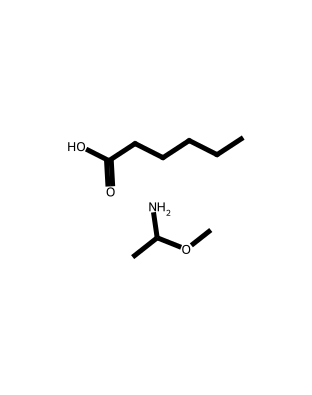 CCCCCC(=O)O.COC(C)N